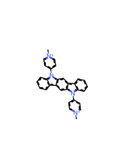 C[n+]1ccc(-n2c3ccccc3c3cc4c(cc32)c2ccccc2n4-c2cc[n+](C)cc2)cc1